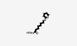 CCCCCCC(=O)CCCCCCCOC1CCCCO1